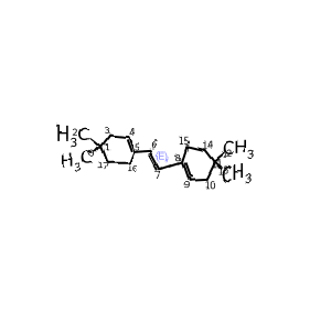 CC1(C)CC=C(/C=C/C2=CCC(C)(C)CC2)CC1